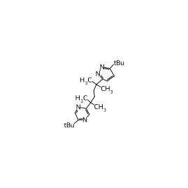 CC(C)(C)c1cnc(C(C)(C)CCC(C)(C)c2ccc(C(C)(C)C)nn2)cn1